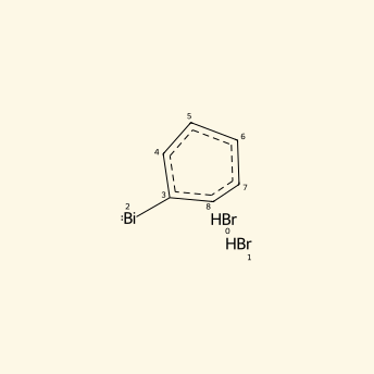 Br.Br.[Bi][c]1ccccc1